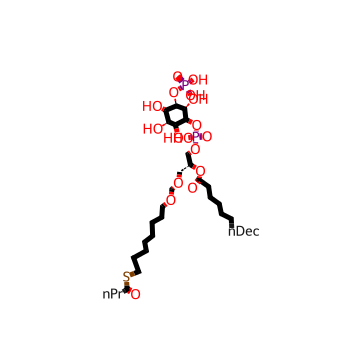 CCCCCCCCCCCCCCCC(=O)O[C@H](COCOCCCCCCCCSC(=O)CCC)COP(=O)(O)OC1C(O)[C@H](O)C(O)[C@H](OP(=O)(O)O)[C@@H]1O